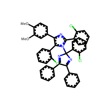 COc1ccc(-c2nc(-c3ccccc3Cl)n(C3(c4ccccc4Cl)N=C(c4ccccc4)C(c4ccccc4)=N3)c2-c2ccccc2Cl)cc1OC